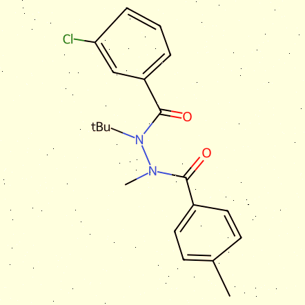 Cc1ccc(C(=O)N(C)N(C(=O)c2cccc(Cl)c2)C(C)(C)C)cc1